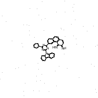 N=C1C=Cc2ccc3ccc(-c4nc(-c5ccccc5)nc(-n5c6ccccc6c6ccccc65)n4)cc3c2C1=N